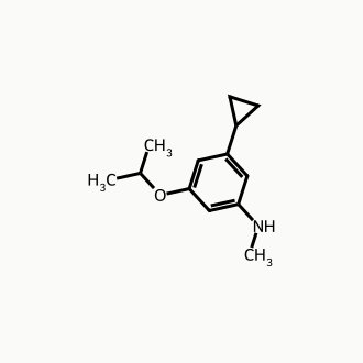 CNc1cc(OC(C)C)cc(C2CC2)c1